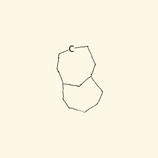 C1CC[C]2CCCCCC(CC1)C2